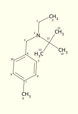 CCN(Cc1ccc(C)cc1)C(C)(C)C